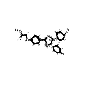 O=C(O)COc1ccc(C2=N[C@H](c3ccc(Cl)cc3)[C@H](c3ccc(Cl)cc3)N2)cc1